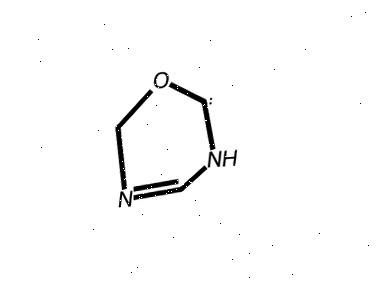 [C]1NC=NCO1